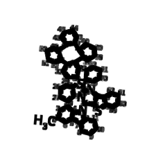 Cc1ccc2c(c1)c1ccccc1n2-c1nc([Si](c2ccccc2)(c2ccccc2)c2ccc3c(c2)-c2ccccc2-c2ccccc2-c2ccccc2-3)nc2c1sc1ccccc12